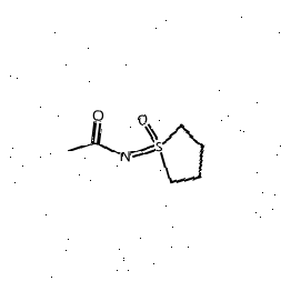 CC(=O)N=S1(=O)CCCC1